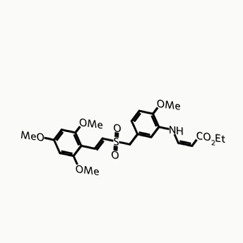 CCOC(=O)/C=C\Nc1cc(CS(=O)(=O)/C=C/c2c(OC)cc(OC)cc2OC)ccc1OC